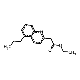 CCCc1cccc2nc(CC(=O)OCC)ccc12